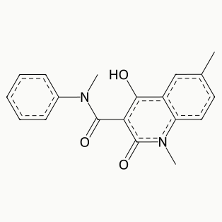 Cc1ccc2c(c1)c(O)c(C(=O)N(C)c1ccccc1)c(=O)n2C